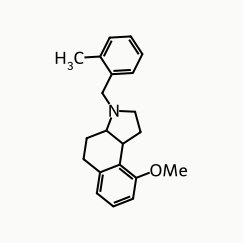 COc1cccc2c1C1CCN(Cc3ccccc3C)C1CC2